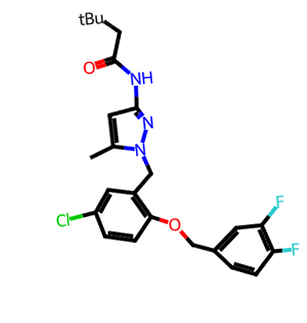 Cc1cc(NC(=O)CC(C)(C)C)nn1Cc1cc(Cl)ccc1OCc1ccc(F)c(F)c1